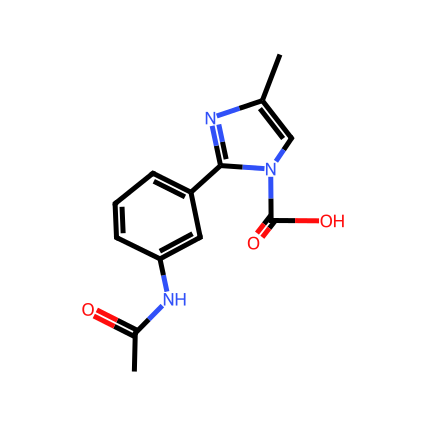 CC(=O)Nc1cccc(-c2nc(C)cn2C(=O)O)c1